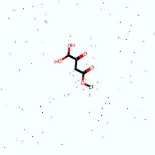 CCOC(=O)CC(=O)C(O)O